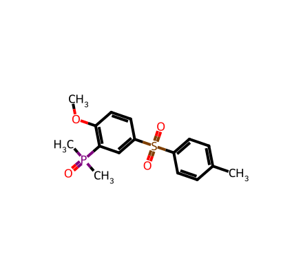 COc1ccc(S(=O)(=O)c2ccc(C)cc2)cc1P(C)(C)=O